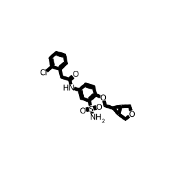 NS(=O)(=O)c1cc(NC(=O)Cc2ccccc2Cl)ccc1OCC1C2COCC21